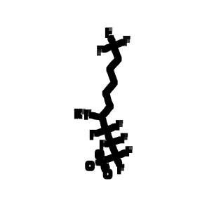 O=S(=O)([O-])C(F)(F)C(F)(F)C(F)(F)C(F)CCCCCC(F)(F)F.[K+]